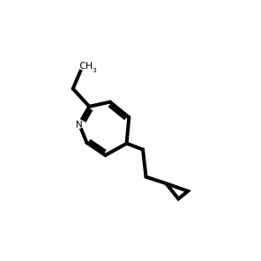 CCC1=NC=CC(CCC2CC2)C=C1